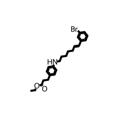 CCOC(=O)CCc1ccc(NCCCCCC=Cc2cccc(Br)c2)cc1